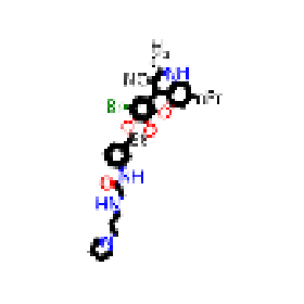 CCCC1CC(=O)C2=C(C1)NC(C)=C(C#N)C2c1cc(Br)c(OCc2cccc(NC(=O)CNCCCN3CCCC3)c2)c(OCC)c1